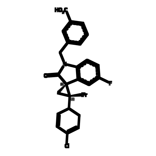 CC(C)[C@@]1(C2C=CC(Cl)=CC2)C[C@@]12C(=O)N(Cc1cccc(C(=O)O)c1)c1ccc(F)cc12